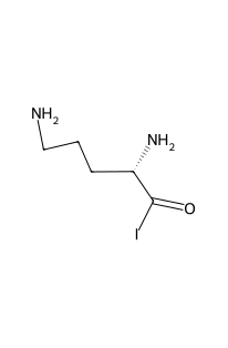 NCCC[C@H](N)C(=O)I